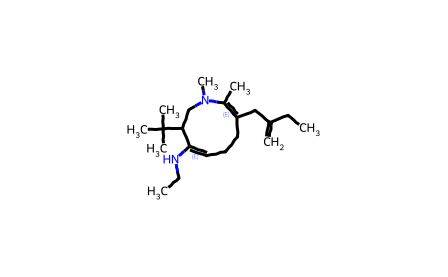 C=C(CC)C/C1=C(\C)N(C)CC(C(C)(C)C)/C(NCC)=C\CC1